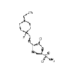 N#CCN1CCC(F)(COc2ncc(S(N)(=O)=O)cc2Cl)CC1